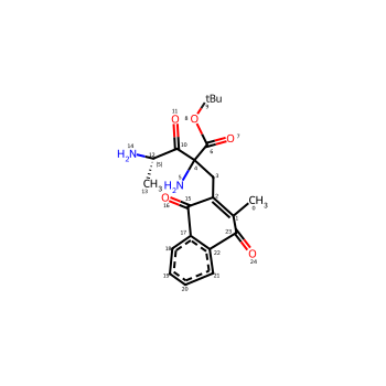 CC1=C(CC(N)(C(=O)OC(C)(C)C)C(=O)[C@H](C)N)C(=O)c2ccccc2C1=O